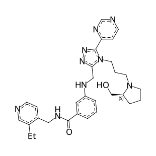 CCc1cnccc1CNC(=O)c1cccc(NCc2nnc(-c3ccncn3)n2CCCN2CCC[C@H]2CO)c1